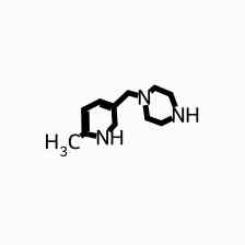 CC1=CC=C(CN2CCNCC2)CN1